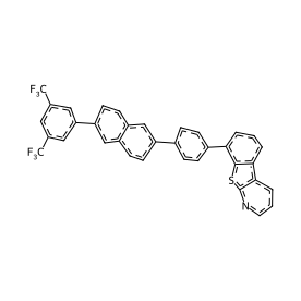 FC(F)(F)c1cc(-c2ccc3cc(-c4ccc(-c5cccc6c5sc5ncccc56)cc4)ccc3c2)cc(C(F)(F)F)c1